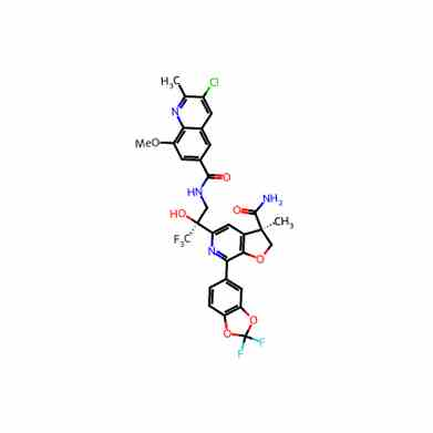 COc1cc(C(=O)NC[C@](O)(c2cc3c(c(-c4ccc5c(c4)OC(F)(F)O5)n2)OC[C@]3(C)C(N)=O)C(F)(F)F)cc2cc(Cl)c(C)nc12